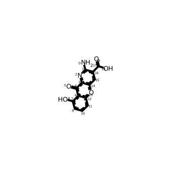 Nc1nc2c(=O)c3c(O)cccc3oc2cc1C(=O)O